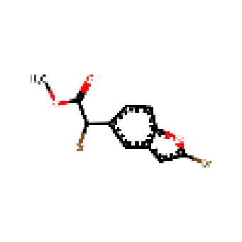 COC(=O)C(Br)c1ccc2oc(Br)cc2c1